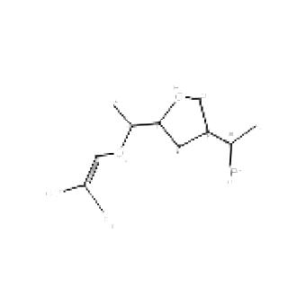 CC/C(O)=C\OC(C)C1CC(C(C)C(C)C)CO1